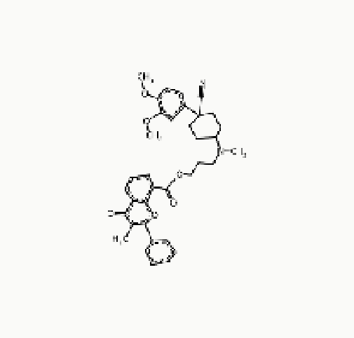 COc1ccc(C2(C#N)CCC(N(C)CCCOC(=O)c3cccc4c(=O)c(C)c(-c5ccccc5)oc34)CC2)cc1OC